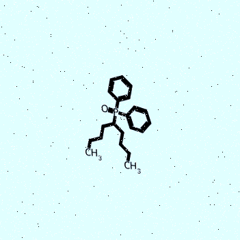 CCCCC(CCCC)P(=O)(c1ccccc1)c1ccccc1